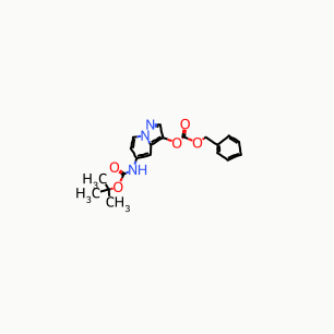 CC(C)(C)OC(=O)Nc1ccn2ncc(OC(=O)OCc3ccccc3)c2c1